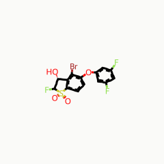 O=S1(=O)c2ccc(Oc3cc(F)cc(F)c3)c(Br)c2[C@@H](O)C1F